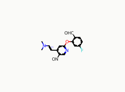 CN(C)/C=C/c1cc(Oc2cc(F)ccc2C=O)ncc1N=O